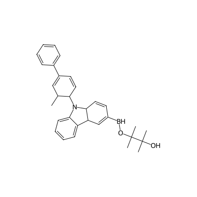 CC1C=C(c2ccccc2)C=CC1N1c2ccccc2C2C=C(BOC(C)(C)C(C)(C)O)C=CC21